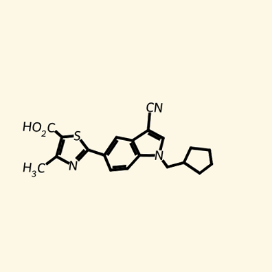 Cc1nc(-c2ccc3c(c2)c(C#N)cn3CC2CCCC2)sc1C(=O)O